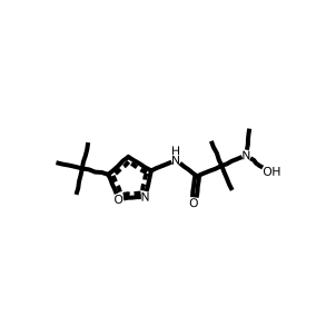 CN(O)C(C)(C)C(=O)Nc1cc(C(C)(C)C)on1